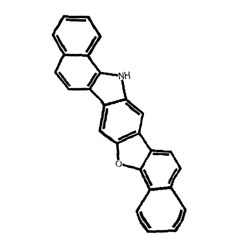 c1ccc2c(c1)ccc1c3cc4oc5c6ccccc6ccc5c4cc3[nH]c21